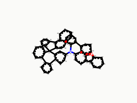 c1ccc(-c2ccccc2N(c2ccc3c(c2)C2(c4ccccc4-c4ccccc4-3)c3ccccc3-c3c2ccc2ccccc32)c2ccc3c(c2)oc2ccccc23)cc1